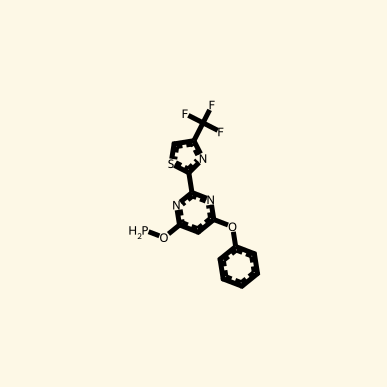 FC(F)(F)c1csc(-c2nc(OP)cc(Oc3ccccc3)n2)n1